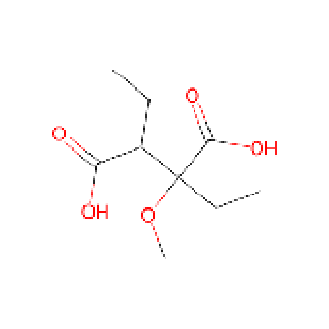 CCC(C(=O)O)C(CC)(OC)C(=O)O